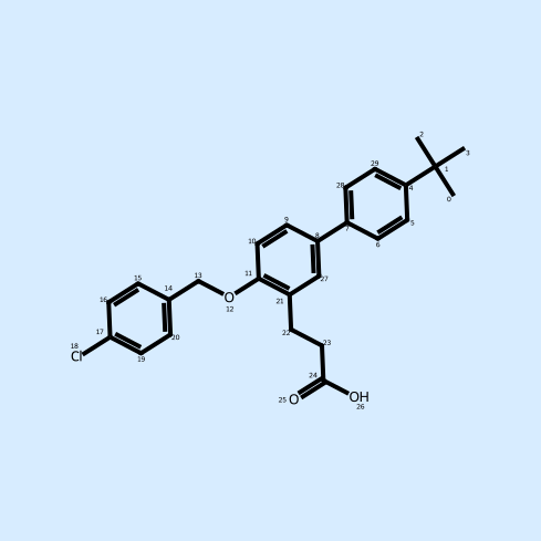 CC(C)(C)c1ccc(-c2ccc(OCc3ccc(Cl)cc3)c(CCC(=O)O)c2)cc1